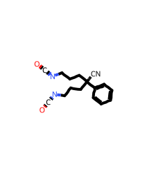 N#CC(CCCN=C=O)(CCCN=C=O)c1ccccc1